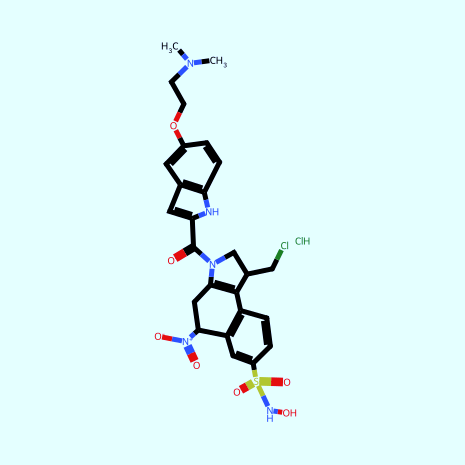 CN(C)CCOc1ccc2[nH]c(C(=O)N3CC(CCl)C4=C3CC([N+](=O)[O-])c3cc(S(=O)(=O)NO)ccc34)cc2c1.Cl